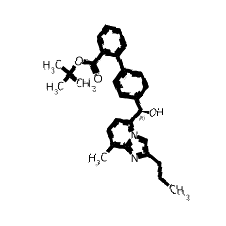 CCCc1cn2c([C@H](O)c3ccc(-c4ccccc4C(=O)OC(C)(C)C)cc3)ccc(C)c2n1